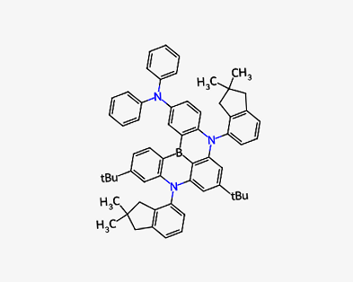 CC1(C)Cc2cccc(N3c4ccc(N(c5ccccc5)c5ccccc5)cc4B4c5ccc(C(C)(C)C)cc5N(c5cccc6c5CC(C)(C)C6)c5cc(C(C)(C)C)cc3c54)c2C1